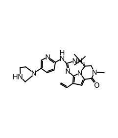 C=Cc1cc2n(c1/N=C(\N)Nc1ccc(N3CCNCC3)cn1)[C@@H](C(C)(C)C)CN(C)C2=O